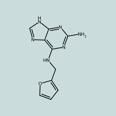 Nc1nc(NCc2ccco2)c2nc[nH]c2n1